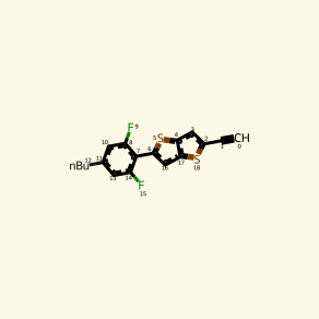 C#Cc1cc2sc(-c3c(F)cc(CCCC)cc3F)cc2s1